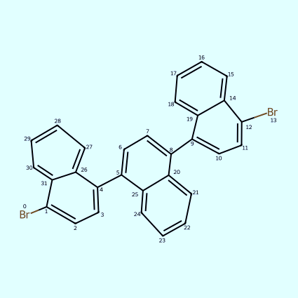 Brc1ccc(-c2ccc(-c3ccc(Br)c4ccccc34)c3ccccc23)c2ccccc12